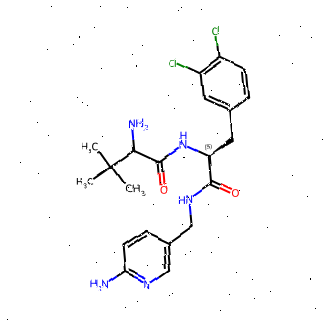 CC(C)(C)C(N)C(=O)N[C@@H](Cc1ccc(Cl)c(Cl)c1)C(=O)NCc1ccc(N)nc1